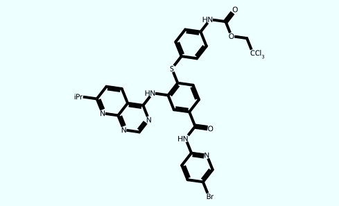 CC(C)c1ccc2c(Nc3cc(C(=O)Nc4ccc(Br)cn4)ccc3Sc3ccc(NC(=O)OCC(Cl)(Cl)Cl)cc3)ncnc2n1